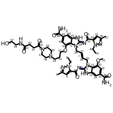 CCn1nc(C)cc1C(=O)/N=c1\[nH]c2cc(C(N)=O)cc(OC)c2n1C/C=C/Cn1/c(=N/C(=O)c2cc(C)nn2CC)[nH]c2cc(C(N)=O)cc(OCCCN3CCN(C(=O)CCC(=O)NCCO)CC3)c21